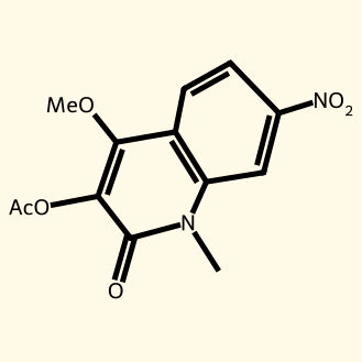 COc1c(OC(C)=O)c(=O)n(C)c2cc([N+](=O)[O-])ccc12